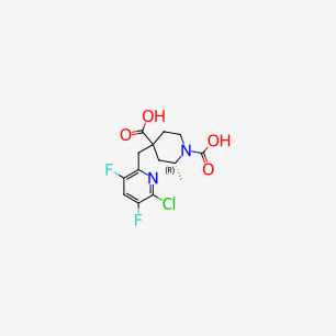 C[C@@H]1CC(Cc2nc(Cl)c(F)cc2F)(C(=O)O)CCN1C(=O)O